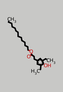 CCCCCCCCCCCCCCOC(=O)CCc1cc(CC)c(O)c(CC)c1